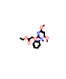 CCOC(=O)COC1=NC(OC)=CC(OC)[N+]1(C)c1ccccc1